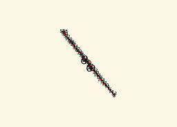 CC(C)CCCCCCCCCCCCCCCCCCCCCOC(=O)CCSCCC(=O)OCCCCCCCCCCCCCCCCCCCCCC(C)C